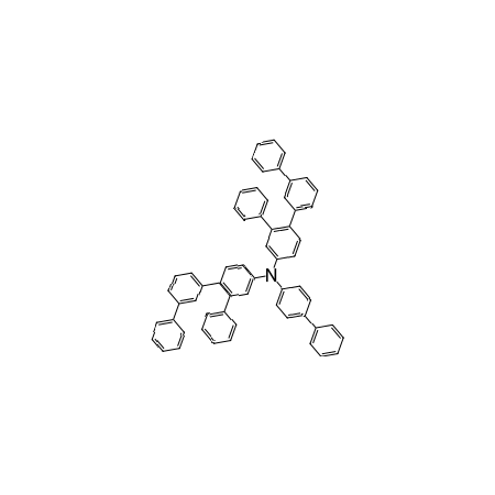 c1ccc(-c2ccc(N(c3ccc(-c4cccc(-c5ccccc5)c4)c(-c4ccccc4)c3)c3ccc(-c4cccc(-c5ccccc5)c4)c(-c4ccccc4)c3)cc2)cc1